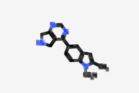 Cc1cc2cc(-c3ncnc4c3CNC4)ccc2n1C(=O)O